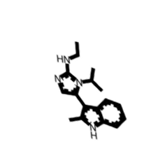 CCNc1ncc(-c2c(C)[nH]c3ccccc23)n1C(C)C